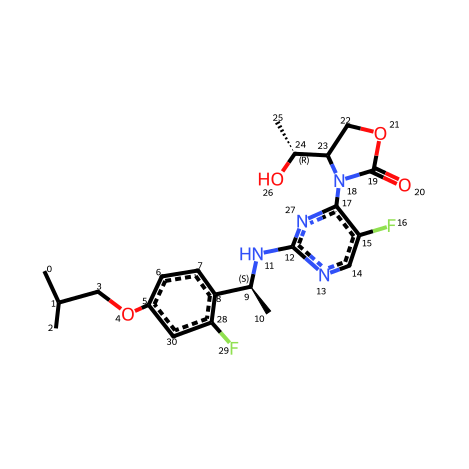 CC(C)COc1ccc([C@H](C)Nc2ncc(F)c(N3C(=O)OCC3[C@@H](C)O)n2)c(F)c1